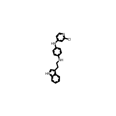 Clc1cc(Nc2ccc(NCCc3c[nH]c4ccccc34)cc2)ccn1